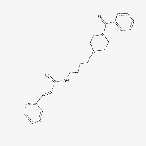 O=C(C=Cc1cccnc1)NCCCCN1CCN(C(=O)c2ccccc2)CC1